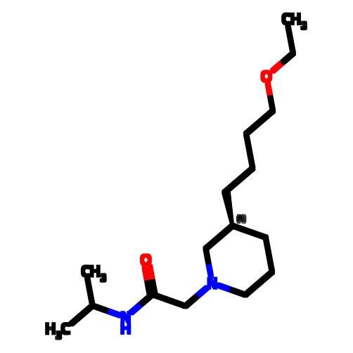 CCOCCCC[C@H]1CCCN(CC(=O)NC(C)C)C1